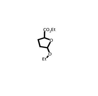 CCOC(=O)C1CCC(OCC)O1